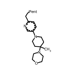 CCCC(C)Cc1ccc(N2CCC(C)(N3CCOCC3)CC2)cn1